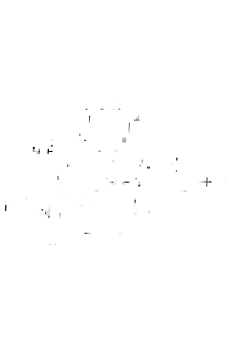 COc1cccc2c1c1c(n2CCF)CCCC1C(=O)N(C)C(C)C